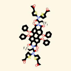 O=C(C(CC(F)(F)F)N1C(=O)c2cc(Oc3ccccc3)c3c4c(Oc5ccccc5)cc5c6c(cc(Oc7ccccc7)c(c7c(Oc8ccccc8)cc(c2c37)C1=O)c64)C(=O)N(C(CC(F)(F)F)C(=O)N(c1ccc(C2CO2)s1)c1ccc(C2CO2)s1)C5=O)N(c1ccc(C2CO2)s1)c1ccc(C2CO2)s1